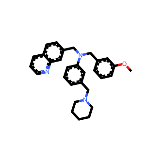 COc1cccc(CN(Cc2ccc3cccnc3c2)c2cccc(CN3CCCCC3)c2)c1